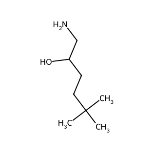 CC(C)(C)CCC(O)CN